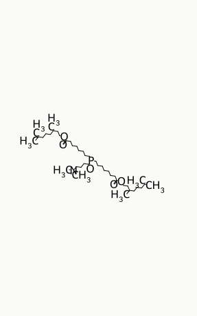 CC(C)CCCC(C)CCOC(=O)CCCCCCCP(CCCCCCCC(=O)OCCC(C)CCCC(C)C)C(=O)CCCN(C)C